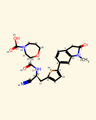 CN1C(=O)Cc2ccc(-c3ccc(C[C@@H](C#N)NC(=O)[C@@H]4CN(C(=O)O)CCCO4)s3)cc21